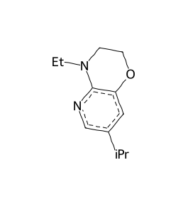 CCN1CCOc2cc(C(C)C)cnc21